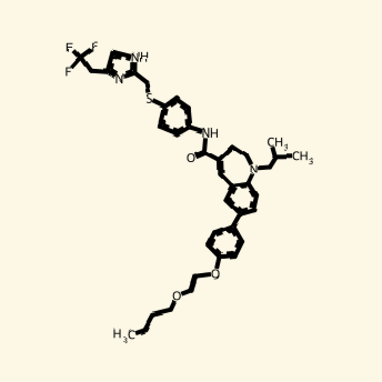 CCCCOCCOc1ccc(-c2ccc3c(c2)C=C(C(=O)Nc2ccc(SCc4nc(CC(F)(F)F)c[nH]4)cc2)CCN3CC(C)C)cc1